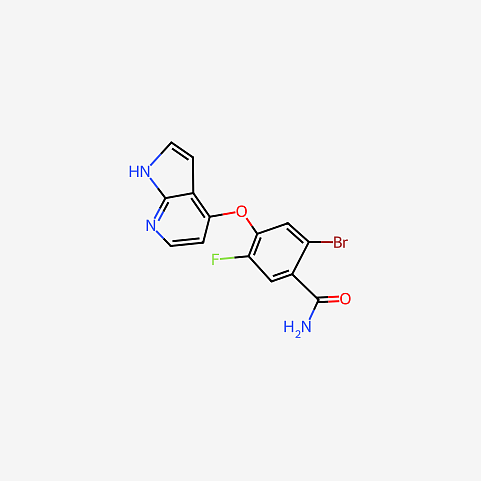 NC(=O)c1cc(F)c(Oc2ccnc3[nH]ccc23)cc1Br